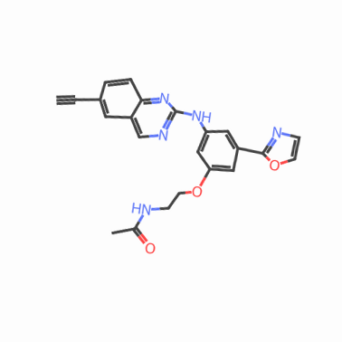 C#Cc1ccc2nc(Nc3cc(OCCNC(C)=O)cc(-c4ncco4)c3)ncc2c1